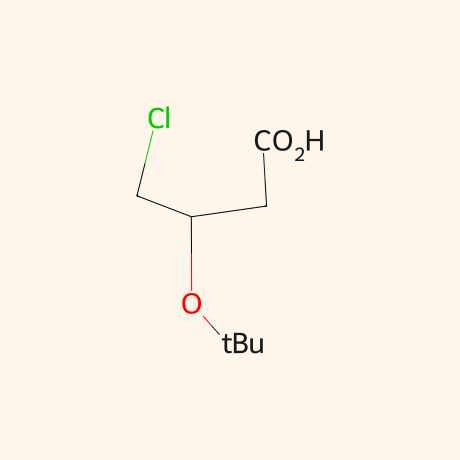 CC(C)(C)OC(CCl)CC(=O)O